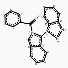 O=C(c1ccccc1)n1cc2ccccc2c1-n1nnc2ccccc21